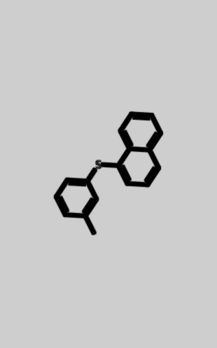 Cc1cccc(Sc2cccc3ccccc23)c1